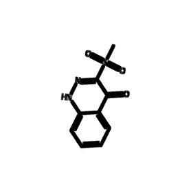 CS(=O)(=O)c1n[nH]c2ccccc2c1=O